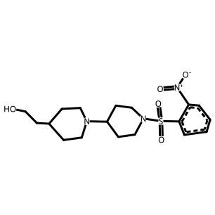 O=[N+]([O-])c1ccccc1S(=O)(=O)N1CCC(N2CCC(CCO)CC2)CC1